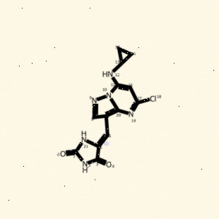 O=C1NC(=O)/C(=C/c2cnn3c(NC4CC4)cc(Cl)nc23)N1